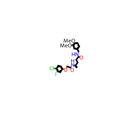 C=C(CCC(=O)NCc1ccc(OC)c(OC)c1)NC(=O)COc1ccc(Cl)c(F)c1